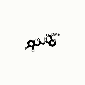 COC(=O)c1ncccc1NCC(=O)Cc1c(F)ccc(F)c1Cl